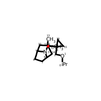 CC(C)OCC1(CN2C3CCC2CC(C)(C)C3)CC1